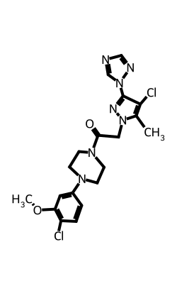 COc1cc(N2CCN(C(=O)Cn3nc(-n4cncn4)c(Cl)c3C)CC2)ccc1Cl